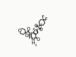 NC(=O)c1cc(S(=O)(=O)N2CCC(F)(F)CC2)sc1NC(=O)C1(O)CCOCC1